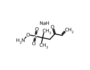 C=CC(=O)CC(C)(C)S(=O)(=O)ON.[NaH]